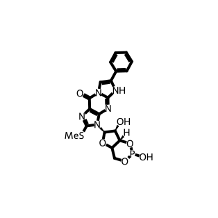 CSc1nc2c(=O)n3cc(-c4ccccc4)[nH]c3nc2n1[C@@H]1OC2COP(O)O[C@H]2[C@@H]1O